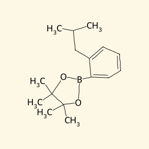 CC(C)Cc1ccccc1B1OC(C)(C)C(C)(C)O1